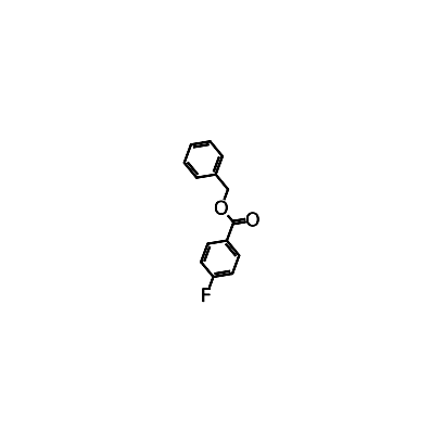 O=C(OCc1ccccc1)c1ccc(F)cc1